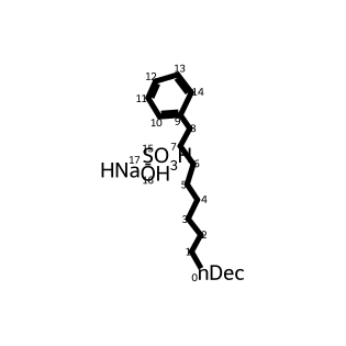 CCCCCCCCCCCCCCCCCCc1ccccc1.O=S(=O)(O)O.[NaH]